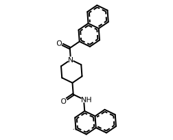 O=C(Nc1c[c]cc2ccccc12)C1CCN(C(=O)c2ccc3ccccc3c2)CC1